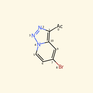 CC(=O)c1nnn2ccc(Br)cc12